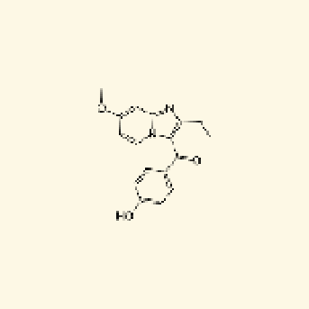 CCc1nc2cc(OC)ccn2c1C(=O)c1ccc(O)cc1